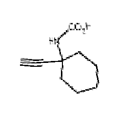 C#CC1(NC(=O)O)CCCCC1